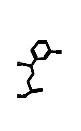 CCN(CCC(=O)OC)c1cccc(O)c1